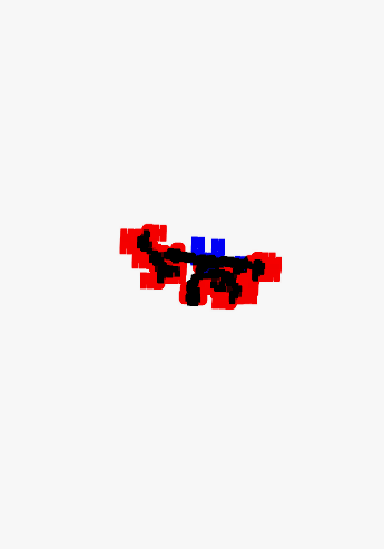 O=C(CCCCCNC(=O)CN(CC(=O)NCCCCCCN(CCO[C@@H]1O[C@H](CO)[C@@H](O)[C@H](O)[C@@H]1O)CCO[C@H]1O[C@H](CO[C@H]2O[C@H](CO)[C@@H](O)[C@H](O)[C@@H]2O)[C@@H](O)[C@H](O[C@H]2O[C@H](CO)[C@@H](O)[C@H](O)[C@@H]2O)[C@@H]1O)CC(=O)NCCCCCC(=O)ON1C(=O)CCC1=O)NCCO[C@H]1O[C@H](CO[C@H]2O[C@H](CO)[C@@H](O)[C@H](O)[C@@H]2O)[C@@H](O)[C@H](O[C@H]2O[C@H](CO)[C@@H](O)[C@H](O)[C@@H]2O)[C@@H]1O